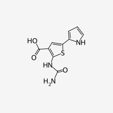 NC(=O)Nc1sc(-c2ccc[nH]2)cc1C(=O)O